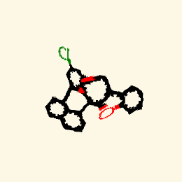 Clc1cccc(-c2cccc3cccc(-c4cccc5c4oc4ccccc45)c23)c1